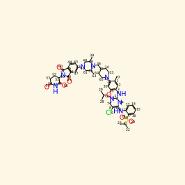 Cc1cc(Nc2ncc(Cl)c(Nc3ccccc3S(=O)(=O)C(C)C)n2)c(OC(C)C)cc1N1CCC(CN2C(C)CN(c3ccc4c(c3)C(=O)N(C3CCC(=O)NC3=O)C4=O)CC2C)CC1